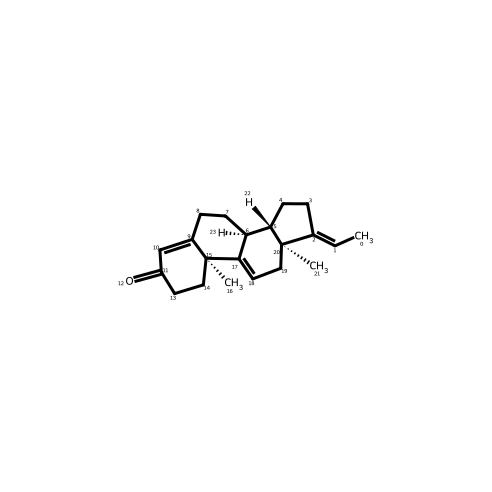 C/C=C1\CC[C@H]2[C@@H]3CCC4=CC(=O)CC[C@]4(C)C3=CC[C@]12C